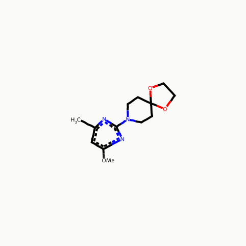 COc1cc(C)nc(N2CCC3(CC2)OCCO3)n1